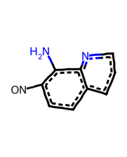 Nc1c(N=O)ccc2cccnc12